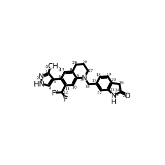 Cc1n[nH]cc1-c1cc2c(cc1C(F)F)N(Cc1ccc3c(c1)NC(=O)C3)CCC2